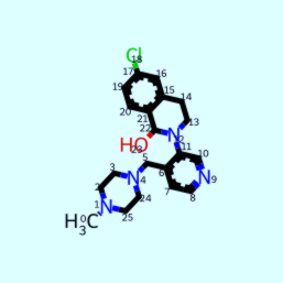 CN1CCN(Cc2ccncc2N2CCc3cc(Cl)ccc3C2O)CC1